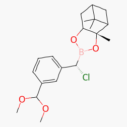 COC(OC)c1cccc([C@@H](Cl)B2OC3CC4CC(C4(C)C)[C@]3(C)O2)c1